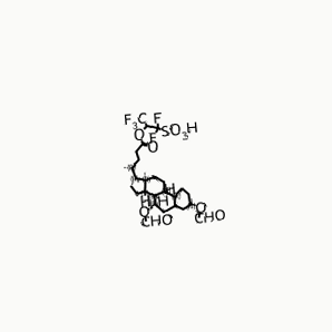 C[C@H](CCC(=O)OC(C(F)(F)F)C(F)(F)S(=O)(=O)O)[C@H]1CC[C@H]2[C@@H]3[C@H](OC=O)CC4C[C@H](OC=O)CC[C@]4(C)[C@H]3CC[C@]12C